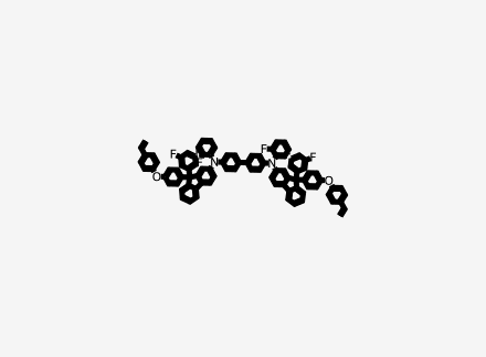 C=Cc1ccc(Oc2ccc(C3(c4cc(F)cc(F)c4)c4ccccc4-c4ccc(N(c5ccc(-c6ccc(N(c7ccc8c(c7)C(c7ccc(Oc9ccc(C=C)cc9)cc7)(c7cc(F)cc(F)c7)c7ccccc7-8)c7ccccc7F)cc6)cc5)c5ccccc5F)cc43)cc2)cc1